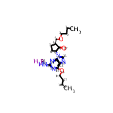 CCCCOC[C@@H]1CC[C@H](n2cnc3c(OCCCC)nc(NP)nc32)C1=O